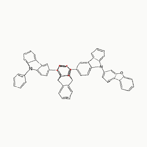 c1ccc(-n2c3ccccc3c3cc(-c4ccc(-c5ccc6c(c5)c5ccccc5n6-c5ccc6c(c5)oc5ccccc56)c5c4C4c6ccccc6C5c5ccccc54)ccc32)cc1